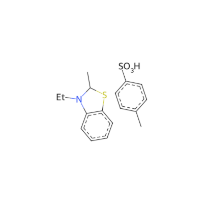 CCN1c2ccccc2SC1C.Cc1ccc(S(=O)(=O)O)cc1